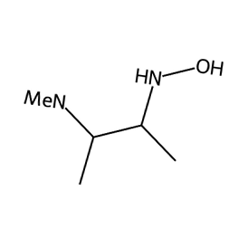 CNC(C)C(C)NO